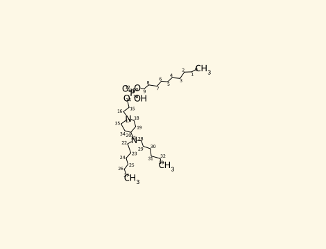 CCCCCCCCCCOP(=O)(O)OCCN1CCC(N(CCCCCC)CCCCCC)CC1